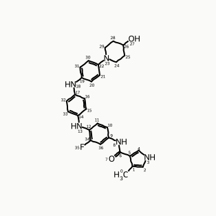 Cc1c[nH]cc1C(=O)Nc1ccc(Nc2ccc(Nc3ccc(N4CCC(O)CC4)cc3)cc2)c(F)c1